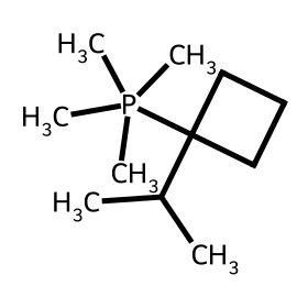 CC(C)C1(P(C)(C)(C)C)CCC1